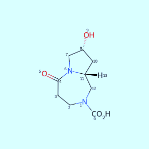 O=C(O)N1CCC(=O)N2C[C@H](O)C[C@@H]2C1